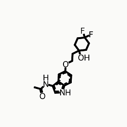 CC(=O)Nc1c[nH]c2ccc(OCCC3(O)CCC(F)(F)CC3)cc12